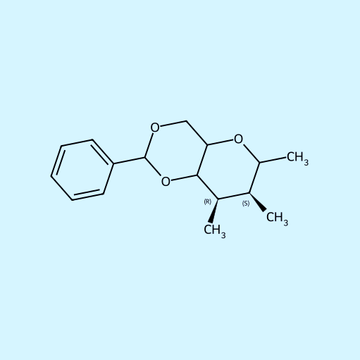 CC1OC2COC(c3ccccc3)OC2[C@H](C)[C@@H]1C